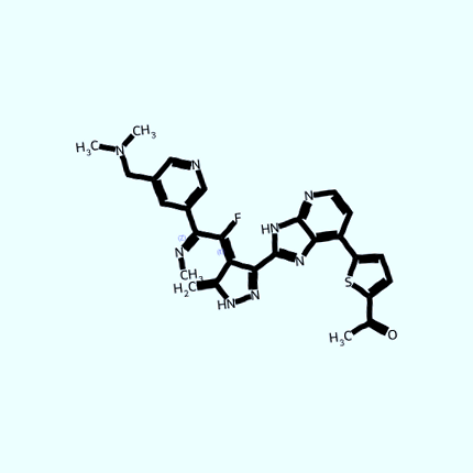 C=c1[nH]nc(-c2nc3c(-c4ccc(C(C)=O)s4)ccnc3[nH]2)/c1=C(F)/C(=N\C)c1cncc(CN(C)C)c1